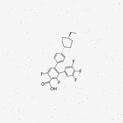 CC[C@H]1CC[C@H](c2ccc(-c3cc(F)c(C(=O)O)c(F)c3-c3cc(F)c(F)c(F)c3)cc2)CC1